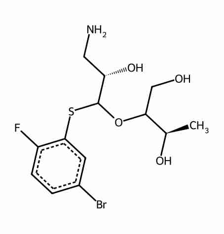 C[C@@H](O)C(CO)OC(Sc1cc(Br)ccc1F)[C@@H](O)CN